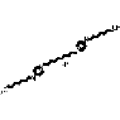 CCCCCCCCN=c1ccn(CCCCCCCCCCn2ccc(=NCCCCCCCC)cc2)cc1.[H+]